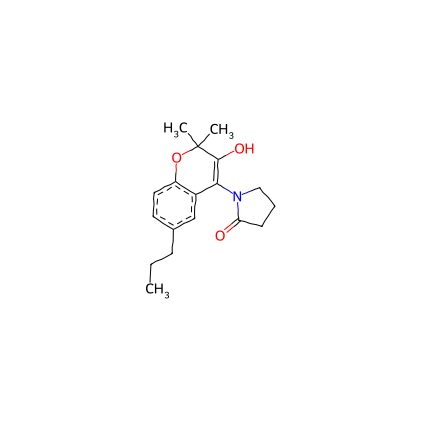 CCCc1ccc2c(c1)C(N1CCCC1=O)=C(O)C(C)(C)O2